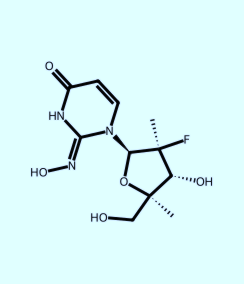 C[C@@]1(F)[C@H](n2ccc(=O)[nH]/c2=N\O)O[C@](C)(CO)[C@H]1O